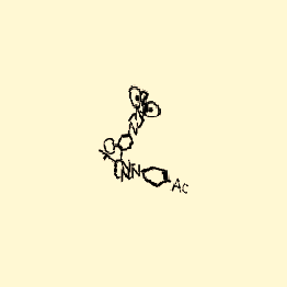 CC(=O)c1ccc(N2CN3CC=C4C(c5ccc(N6CCN(S(C)(=O)=O)CC6)cc5OC4(C)C)N3C2)cc1